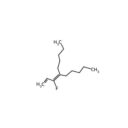 C=CC(F)=C(CCCCC)CCCCC